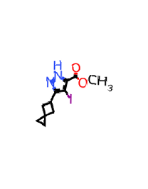 COC(=O)c1[nH]nc(C2CC3(CC3)C2)c1I